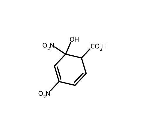 O=C(O)C1C=CC([N+](=O)[O-])=CC1(O)[N+](=O)[O-]